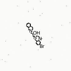 CN1CCN(CC(O)CN2CCc3ccccc3C2)Cc2ccc(Br)cc21